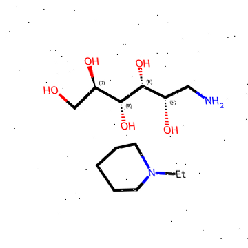 CCN1CCCCC1.NC[C@H](O)[C@@H](O)[C@H](O)[C@H](O)CO